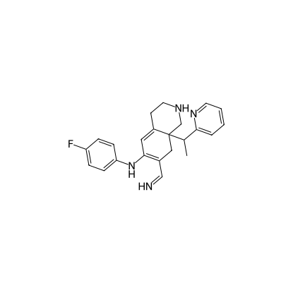 CC(c1ccccn1)C12CNCCC1=CC(Nc1ccc(F)cc1)=C(C=N)C2